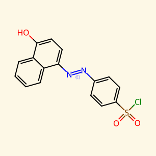 O=S(=O)(Cl)c1ccc(/N=N/c2ccc(O)c3ccccc23)cc1